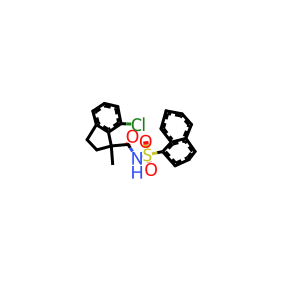 CC1(C(=O)NS(=O)(=O)c2cccc3ccccc23)CCc2cccc(Cl)c21